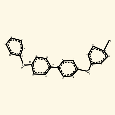 Cc1ccc(Oc2ccc(-c3ccc(Oc4ccccc4)cc3)cc2)cc1